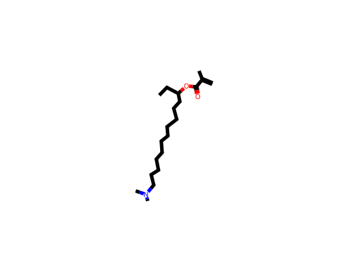 C=C(C)C(=O)OC(CC)CCCCCCCCCCCN(C)C